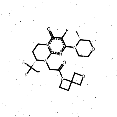 C[C@@H]1COCCN1c1nc2n(c(=O)c1F)CC[C@@H](C(F)(F)F)N2CC(=O)N1CCC12COC2